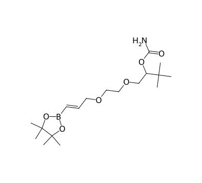 CC(C)(C)C(COCCOCC=CB1OC(C)(C)C(C)(C)O1)OC(N)=O